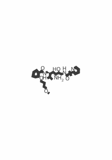 COCCCCOc1ccccc1C(=O)NC[C@@H](C[C@H](N)[C@@H](O)CNC(=O)C(C)(C)c1ccccn1)C(C)C